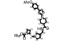 COc1ccc(-c2noc(N3CCC(C(=O)NCC4CCN(C[C@H]5CCN5C(=O)OC(C)(C)C)C4)CC3)n2)cc1